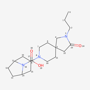 CCCN1CC2(CCN(C3CC4CCC(C3)N4C(=O)O)CC2)CC1=O